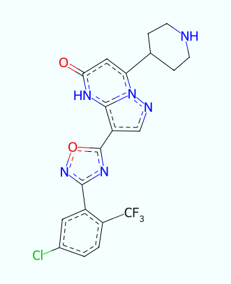 O=c1cc(C2CCNCC2)n2ncc(-c3nc(-c4cc(Cl)ccc4C(F)(F)F)no3)c2[nH]1